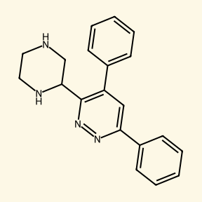 c1ccc(-c2cc(-c3ccccc3)c(C3CNCCN3)nn2)cc1